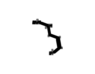 CNNC/C=C\C(C)C